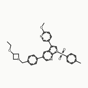 CCOC1CN(Cc2ccc(-c3cnc4c(c3)c(-c3ccc(OC)nc3)cn4S(=O)(=O)c3ccc(C)cc3)cc2)C1